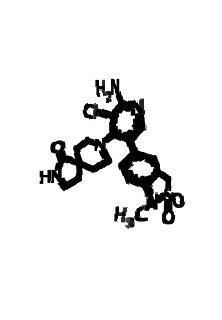 CN1c2ccc(-c3cnc(N)c(Cl)c3N3CCC4(CCNC4=O)CC3)cc2CS1(=O)=O